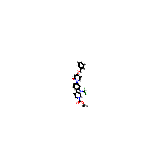 CC(C)(C)OC(=O)N1CCc2c(n(C(F)F)c3cc(-n4ccc(OCc5ccccc5)cc4=O)ccc23)C1